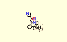 CC1(C)N/C(=C\C(=O)c2ccncc2)c2ccccc2C1(C)C